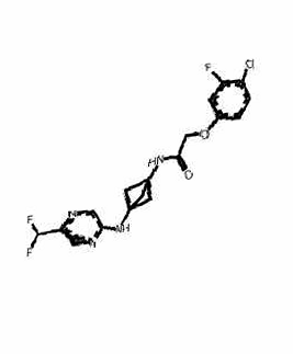 O=C(COc1ccc(Cl)c(F)c1)NC12CC(Nc3cnc(C(F)F)cn3)(C1)C2